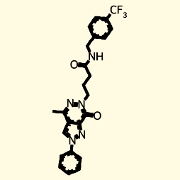 Cc1nn(CCCC(=O)NCc2ccc(C(F)(F)F)cc2)c(=O)c2nn(-c3ccccc3)cc12